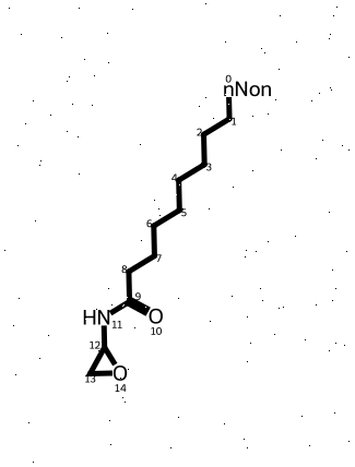 CCCCCCCCCCCCCCCCCC(=O)NC1CO1